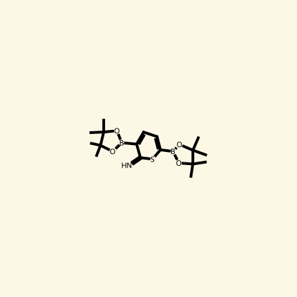 CC1(C)OB(c2ccc(B3OC(C)(C)C(C)(C)O3)c(=N)s2)OC1(C)C